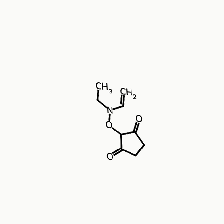 C=CN(CC)OC1C(=O)CCC1=O